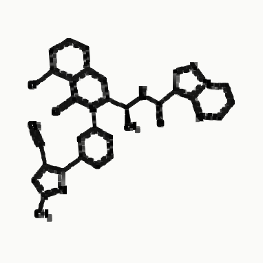 C#Cc1cn(C)nc1-c1cccc(-n2c([C@H](C)NC(=O)c3cnn4cccnc34)cc3cccc(Cl)c3c2=O)c1